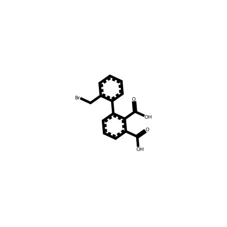 O=C(O)c1cccc(-c2ccccc2CBr)c1C(=O)O